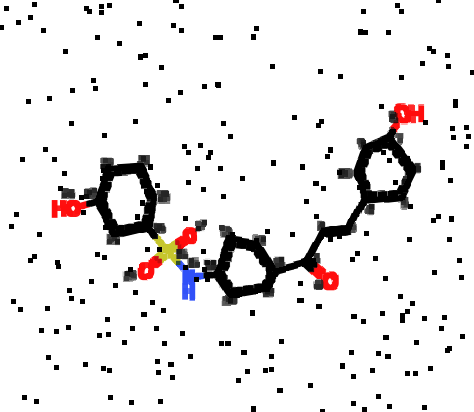 O=C(/C=C/c1ccc(O)cc1)c1ccc(NS(=O)(=O)c2cccc(O)c2)cc1